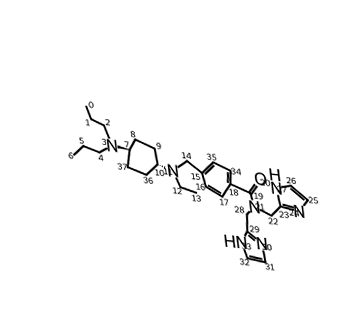 CCCN(CCC)[C@H]1CC[C@H](N(CC)Cc2ccc(C(=O)N(Cc3ncc[nH]3)Cc3ncc[nH]3)cc2)CC1